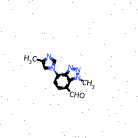 Cc1cn(-c2ccc(C=O)c3c2nnn3C)cn1